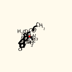 CCCC(=O)OCC(=O)[C@@]1(OC(=O)CCC)[C@H](C)C[C@H]2[C@@H]3CCC4=CC(=O)C=C[C@]4(C)[C@@]3(F)[C@@H](O)C[C@@]21C